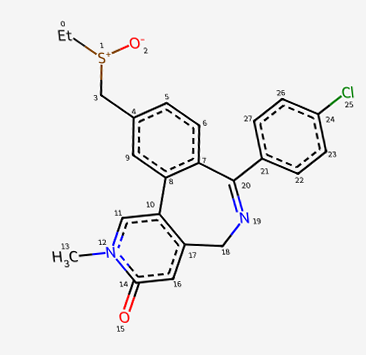 CC[S+]([O-])Cc1ccc2c(c1)-c1cn(C)c(=O)cc1CN=C2c1ccc(Cl)cc1